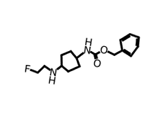 O=C(NC1CCC(NCCF)CC1)OCc1ccccc1